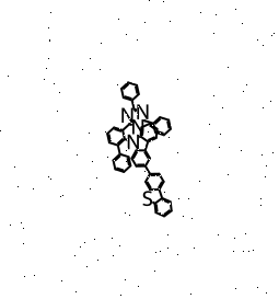 c1ccc(-c2nc(-c3ccccc3)nc(-c3cccc(-c4ccccc4)c3-n3c4ccccc4c4cc(-c5ccc6c(c5)sc5ccccc56)ccc43)n2)cc1